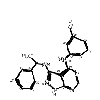 CC(Nc1n[nH]c2ncnc(Nc3cccc(Cl)c3)c12)c1ccccc1